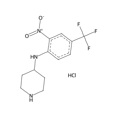 Cl.O=[N+]([O-])c1cc(C(F)(F)F)ccc1NC1CCNCC1